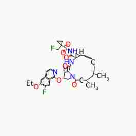 CCOc1cc2ccnc(O[C@@H]3C[C@H]4C(=O)N[C@]5(C(=O)NS(=O)(=O)C6(CF)CC6)C[C@H]5/C=C\CC[C@@H](C)C[C@@H](C)CC(=O)N4C3)c2cc1F